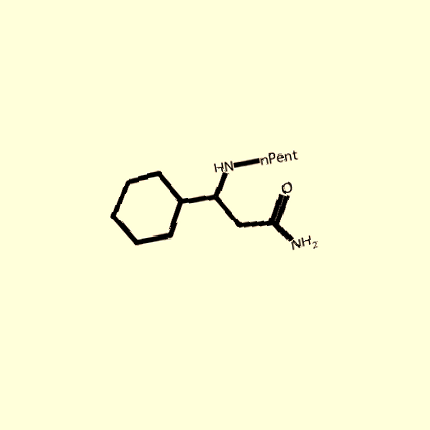 CCCCCNC(CC(N)=O)C1CCCCC1